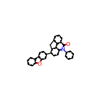 O=c1c2cccc3c2c2c(c(-c4ccc5c(c4)oc4ccccc45)ccc2n1-c1ccccc1)C3